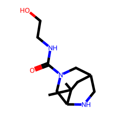 CC1(C)CC2CNC1CN(C(=O)NCCO)C2